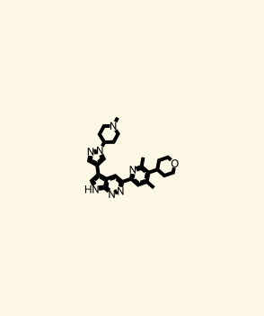 Cc1cc(-c2cc3c(-c4cnn(C5CCN(C)CC5)c4)c[nH]c3nn2)nc(C)c1C1CCOCC1